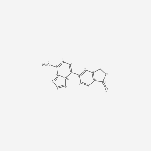 CNc1ncc(-c2ccc3c(c2)CCC3=O)n2ccnc12